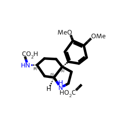 CC(=O)O.COc1ccc([C@]23CCN[C@H]2C[C@H](NC(=O)O)CC3)cc1OC